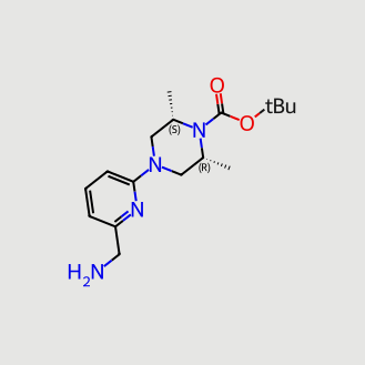 C[C@@H]1CN(c2cccc(CN)n2)C[C@H](C)N1C(=O)OC(C)(C)C